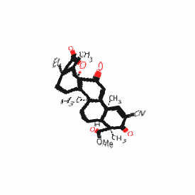 CC[C@@]12CCC3[C@](OC1=O)(C(=O)C=C1[C@@]3(C)CC[C@H]3[C@](C)(C(=O)OC)C(=O)C(C#N)=C[C@]13C)C2C